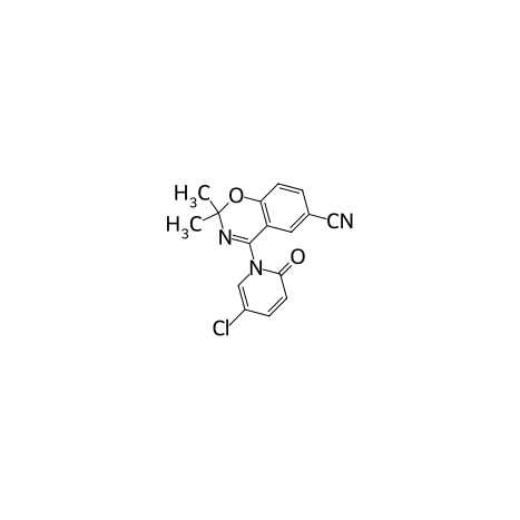 CC1(C)N=C(n2cc(Cl)ccc2=O)c2cc(C#N)ccc2O1